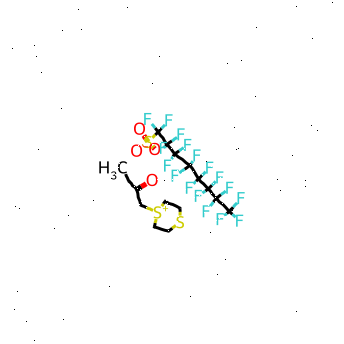 CCC(=O)C[S+]1CCSCC1.O=S(=O)([O-])C(F)(F)C(F)(F)C(F)(F)C(F)(F)C(F)(F)C(F)(F)C(F)(F)C(F)(F)F